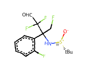 CC(C)(C)[S@@+]([O-])NC(CF)(c1ccccc1F)C(F)(F)C=O